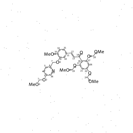 COCOc1ccc(COc2cc(C=CC(=O)c3c(OCOC)cc(OCOC)cc3OCOC)ccc2OC)nc1